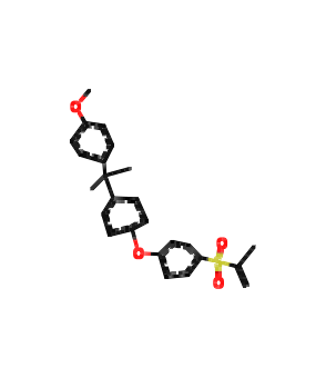 C=C(C)S(=O)(=O)c1ccc(Oc2ccc(C(C)(C)c3ccc(OC)cc3)cc2)cc1